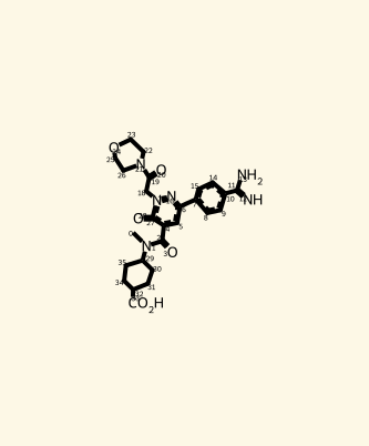 CN(C(=O)c1cc(-c2ccc(C(=N)N)cc2)nn(CC(=O)N2CCOCC2)c1=O)C1CCC(C(=O)O)CC1